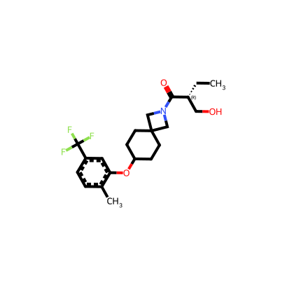 CC[C@H](CO)C(=O)N1CC2(CCC(Oc3cc(C(F)(F)F)ccc3C)CC2)C1